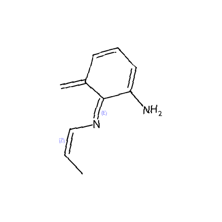 C=C1C=CC=C(N)/C1=N/C=C\C